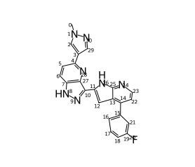 Cn1cc(-c2ccc3[nH]nc(-c4cc5c(-c6cccc(F)c6)ccnc5[nH]4)c3n2)cn1